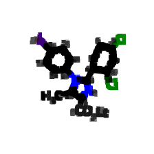 CCOC(=O)c1nc(-c2ccc(Cl)cc2Cl)n(-c2ccc(I)cc2)c1C